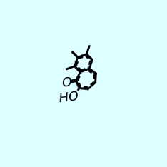 Cc1cc2cccc(O)c(=O)c2c(C)c1C